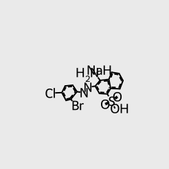 Nc1c(N=Nc2ccc(Cl)cc2Br)cc(S(=O)(=O)O)c2ccccc12.[NaH]